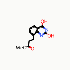 COC(=O)CCc1cccc2c(O)nc(O)nc12